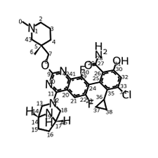 CN1CCC[C@](C)(COc2nc(N3C[C@H]4CC[C@@H](C3)N4)c3cc(F)c(-c4c(C(N)=O)c(O)cc(Cl)c4C4CC4)c(F)c3n2)C1